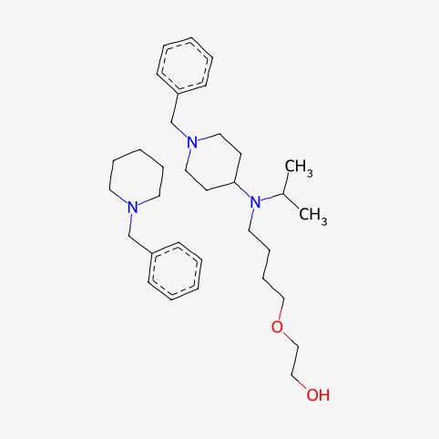 CC(C)N(CCCCOCCO)C1CCN(Cc2ccccc2)CC1.c1ccc(CN2CCCCC2)cc1